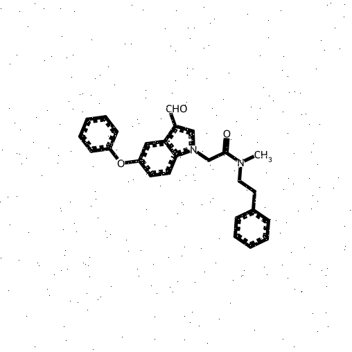 CN(CCc1ccccc1)C(=O)Cn1cc(C=O)c2cc(Oc3ccccc3)ccc21